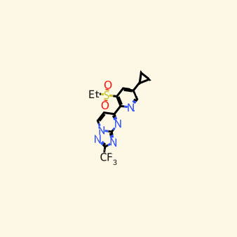 CCS(=O)(=O)c1cc(C2CC2)cnc1-c1ccn2nc(C(F)(F)F)nc2n1